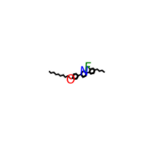 CCCCCCCCCOc1ccc(-c2ccc(-c3ccc(CCCC)cc3F)nc2)cc1